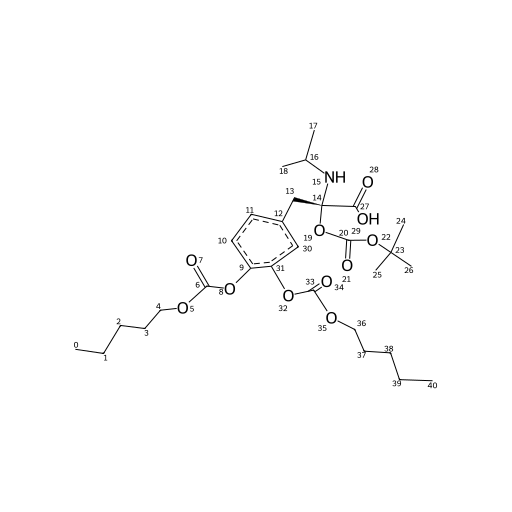 CCCCCOC(=O)Oc1ccc(C[C@](NC(C)C)(OC(=O)OC(C)(C)C)C(=O)O)cc1OC(=O)OCCCCC